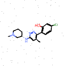 Cc1cc(N[C@H]2CCCN(C)C2)nnc1-c1ccc(Cl)cc1O